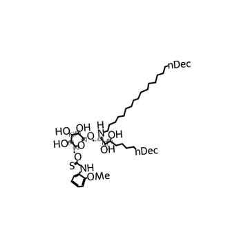 CCCCCCCCCCCCCCCCCCCCCCCCCCN[C@@H](CO[C@@H]1O[C@H](COC(=S)Nc2ccccc2OC)[C@H](O)[C@H](O)[C@H]1O)[C@H](O)[C@H](O)CCCCCCCCCCCCCC